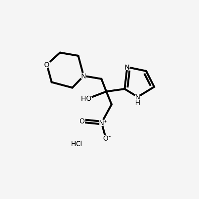 Cl.O=[N+]([O-])CC(O)(CN1CCOCC1)c1ncc[nH]1